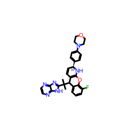 CC(C)(c1nc2nccnc2[nH]1)C1C2=C(N[C@H](c3ccc(N4CCOCC4)cc3)C=C2)Oc2c(F)cccc21